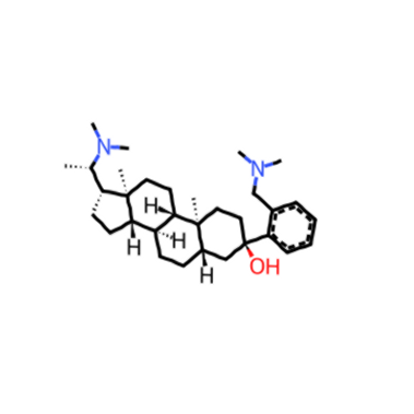 C[C@@H]([C@H]1CC[C@H]2[C@@H]3CC[C@H]4C[C@@](O)(c5ccccc5CN(C)C)CC[C@]4(C)[C@H]3CC[C@]12C)N(C)C